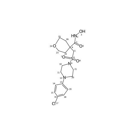 O=C(NO)C1(CS(=O)(=O)N2CCN(c3ccc(Cl)cc3)CC2)CCOCC1